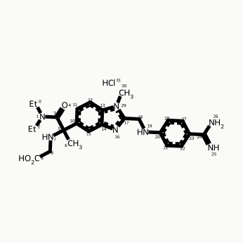 CCN(CC)C(=O)C(C)(NCC(=O)O)c1ccc2c(c1)nc(CNc1ccc(C(=N)N)cc1)n2C.Cl